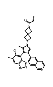 C=CC(=O)N1CC2(CC(n3nc(-c4ccc5cnccc5c4)c(-c4c(Cl)c(C)cc5[nH]ncc45)c3C)C2)C1